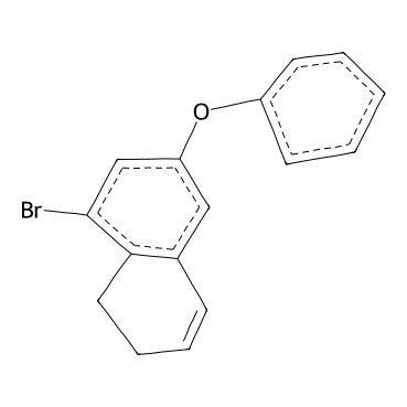 Brc1cc(Oc2ccccc2)cc2c1CCC=C2